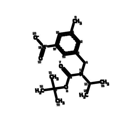 Cc1cc(CN(C(=O)OC(C)(C)C)C(C)C)cc([N+](=O)[O-])c1